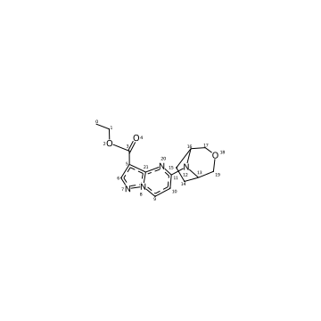 CCOC(=O)c1cnn2ccc(N3C4CCC3COC4)nc12